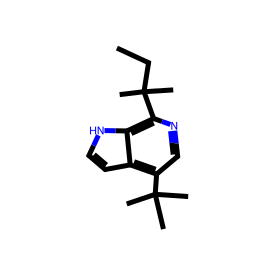 CCC(C)(C)c1ncc(C(C)(C)C)c2cc[nH]c12